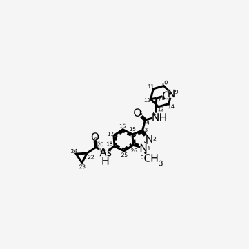 Cn1nc(C(=O)NC2CN3CCC2CC3)c2ccc([AsH]C(=O)C3CC3)cc21